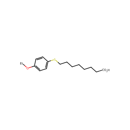 CCOc1ccc(SCCCCCCCC(=O)O)cc1